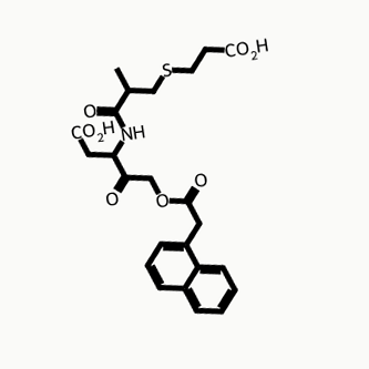 CC(CSCCC(=O)O)C(=O)NC(CC(=O)O)C(=O)COC(=O)Cc1cccc2ccccc12